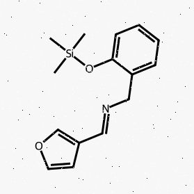 C[Si](C)(C)Oc1ccccc1CN=Cc1ccoc1